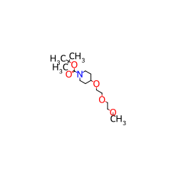 COCCOCCOC1CCN(C(=O)OC(C)(C)C)CC1